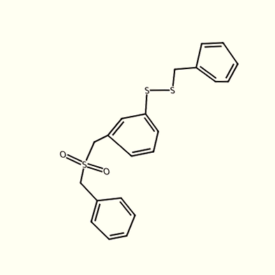 O=S(=O)(Cc1ccccc1)Cc1cccc(SSCc2ccccc2)c1